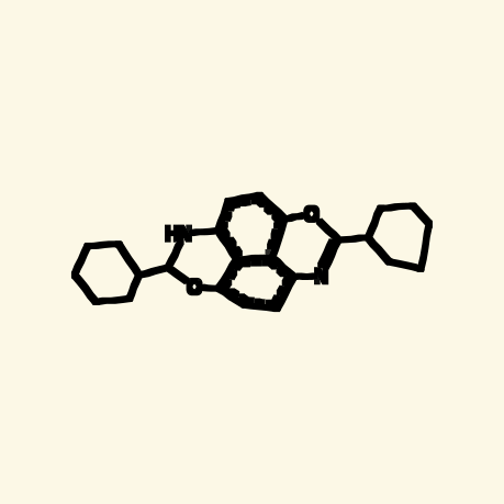 c1cc2c3c(ccc4c3c1N=C(C1CCCCC1)O4)NC(C1CCCCC1)O2